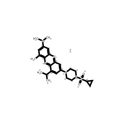 Cc1cc(N(C)C)cc2[s+]c3cc(N4CCN(S(=O)(=O)C5CC5)CC4)cc(C(C)C)c3nc12.[I-]